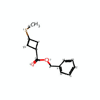 CSC1CC(C(=O)OCc2ccccc2)C1